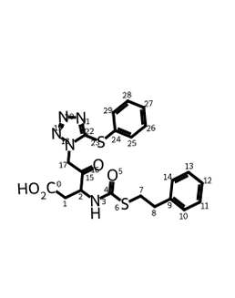 O=C(O)CC(NC(=O)SCCc1ccccc1)C(=O)Cn1nnnc1Sc1ccccc1